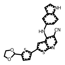 N#Cc1cnc2sc(-c3ccc(C4OCCO4)s3)cc2c1Nc1ccc2[nH]ccc2c1